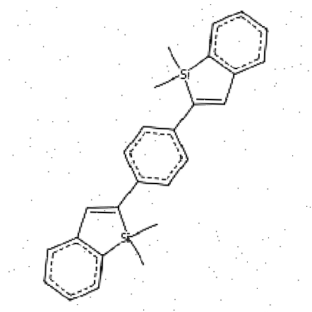 C[Si]1(C)C(c2ccc(C3=Cc4ccccc4[Si]3(C)C)cc2)=Cc2ccccc21